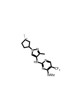 CNc1nc(Nc2cn(C3CC[C@H](C)C3)nc2C)ncc1C(F)(F)F